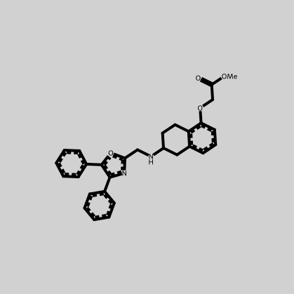 COC(=O)COc1cccc2c1CCC(NCc1nc(-c3ccccc3)c(-c3ccccc3)o1)C2